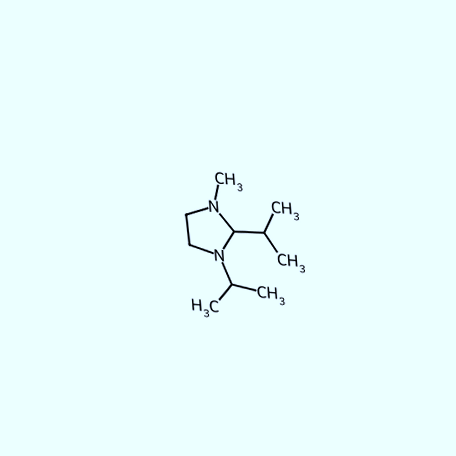 CC(C)C1N(C)CCN1C(C)C